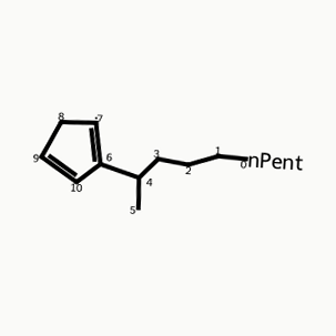 CCCCCCCCC(C)C1=[C]CC=C1